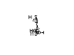 C=COCCCCO[Si](O)(O)O